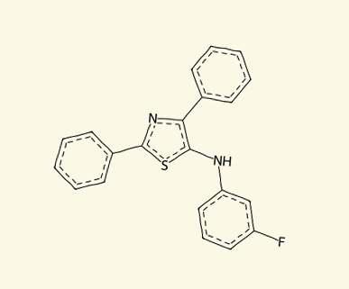 Fc1cccc(Nc2sc(-c3ccccc3)nc2-c2ccccc2)c1